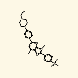 Cc1cc(-c2ccc(N3CCN(CC(C)C)CC3)cc2)nc2c1nc(-c1ccc(S(C)(=O)=O)cc1)n2C